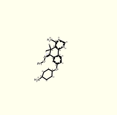 CC(C)O/N=C1\c2cc(OC3CCC(N)CC3)ccc2-c2ncnc(N)c2C1(C)C